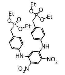 CCOP(=O)(Cc1ccc(Nc2cc(Nc3ccc(CP(=O)(OCC)OCC)cc3)c([N+](=O)[O-])cc2[N+](=O)[O-])cc1)OCC